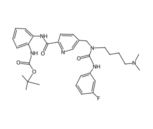 CN(C)CCCCN(Cc1ccc(C(=O)Nc2ccccc2NC(=O)OC(C)(C)C)nc1)C(=O)Nc1cccc(F)c1